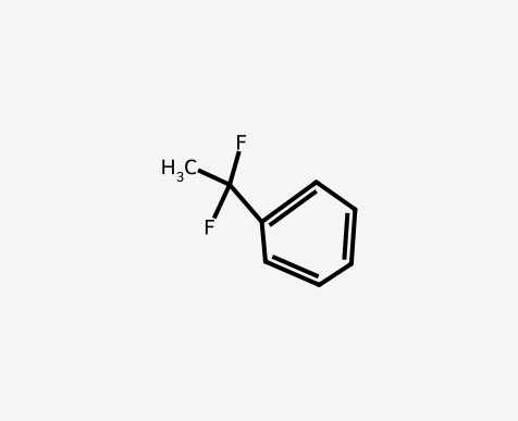 CC(F)(F)c1ccccc1